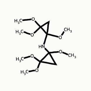 COC1(NC2(OC)CC2(OC)OC)CC1(OC)OC